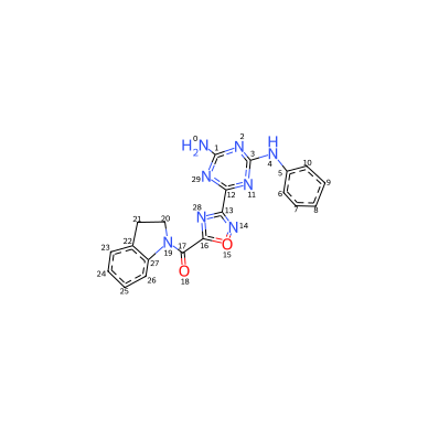 Nc1nc(Nc2ccccc2)nc(-c2noc(C(=O)N3CCc4ccccc43)n2)n1